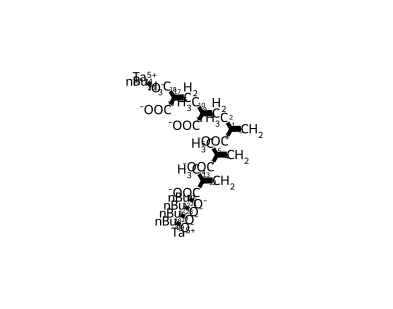 C=C(C)C(=O)[O-].C=C(C)C(=O)[O-].C=C(C)C(=O)[O-].C=C(C)C(=O)[O-].C=C(C)C(=O)[O-].CCCC[O-].CCCC[O-].CCCC[O-].CCCC[O-].CCCC[O-].[Ta+5].[Ta+5]